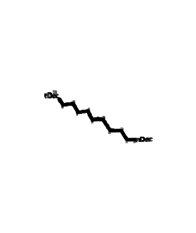 CCCCCCCCCC[CH]CCCCCCCCCCCCCCCCCC